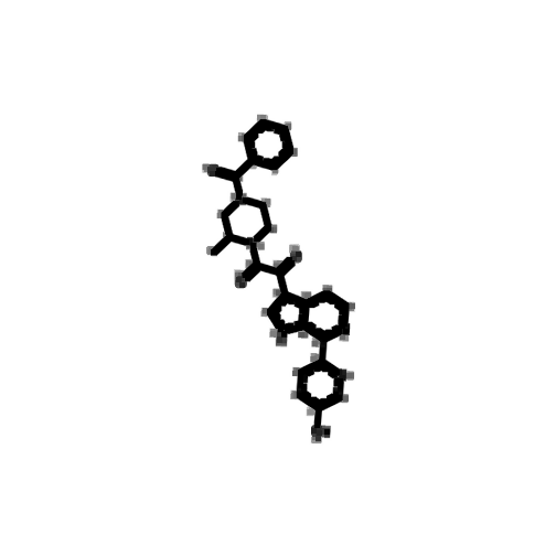 CC1CN(C(=O)c2ccccc2)CCN1C(=O)C(=O)c1c[nH]c2c(-c3ccc(O)cn3)nccc12